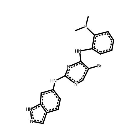 CP(C)c1ccccc1Nc1nc(Nc2ccc3cn[nH]c3c2)ncc1Br